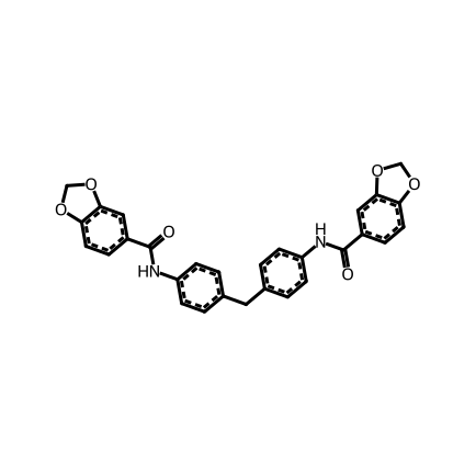 O=C(Nc1ccc(Cc2ccc(NC(=O)c3ccc4c(c3)OCO4)cc2)cc1)c1ccc2c(c1)OCO2